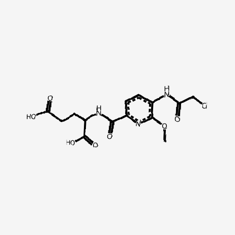 COc1nc(C(=O)NC(CCC(=O)O)C(=O)O)ccc1NC(=O)CCl